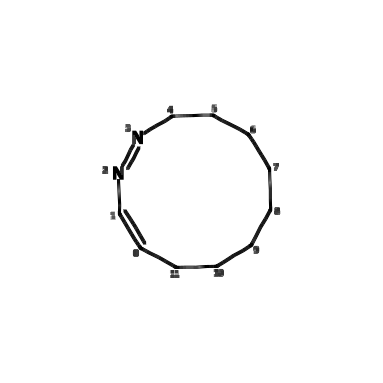 C1=CN=NCCCCCCCC1